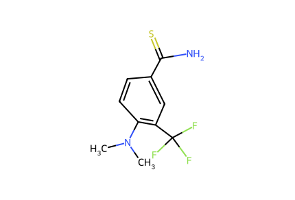 CN(C)c1ccc(C(N)=S)cc1C(F)(F)F